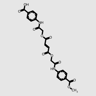 COC(=O)c1ccc(NC(=O)COC(=O)/C=C/C(=O)OCC(=O)Nc2ccc(C(=O)O)cc2)cc1